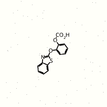 O=C(O)Oc1ccccc1Oc1nc2ccccc2s1